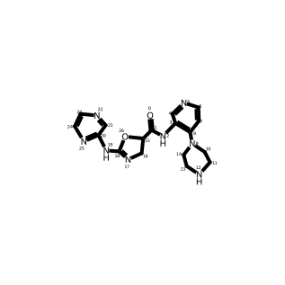 O=C(Nc1cnccc1N1CCNCC1)C1CN=C(Nc2cnccn2)O1